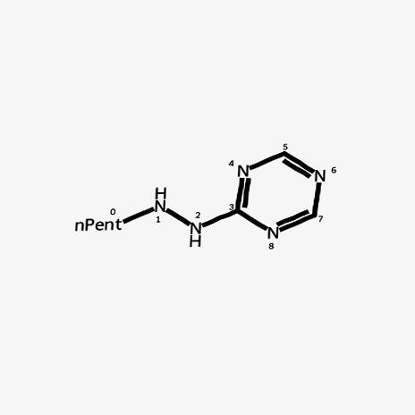 CCCCCNNc1ncncn1